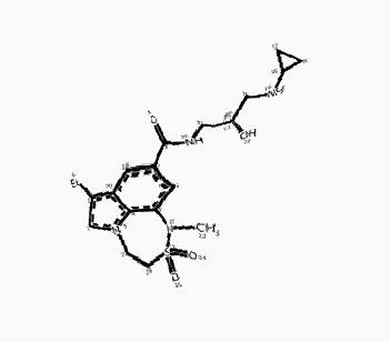 CCc1cn2c3c(cc(C(=O)NC[C@H](O)CNC4CC4)cc13)N(C)S(=O)(=O)CC2